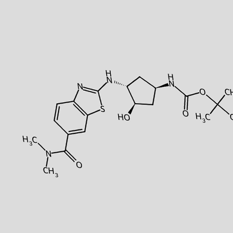 CN(C)C(=O)c1ccc2nc(N[C@@H]3C[C@@H](NC(=O)OC(C)(C)C)C[C@H]3O)sc2c1